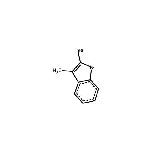 CCCCC1=C(C)c2ccccc2[N]1